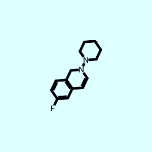 Fc1ccc2c(c1)C=CN(N1CC[CH]CC1)C2